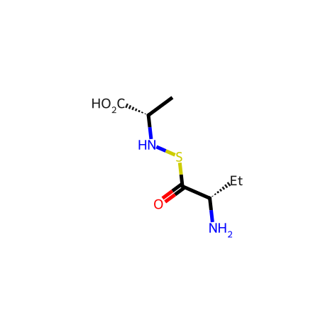 CC[C@H](N)C(=O)SN[C@@H](C)C(=O)O